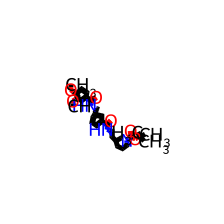 COc1ccc(C(=O)NCc2cccc(C(=O)NCCC3CCCN(C(=O)OC(C)(C)C)C3)c2)cc1OC